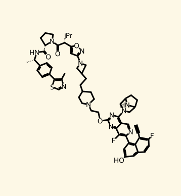 C#Cc1c(F)ccc2cc(O)cc(-c3ncc4c(N5CC6CCC(C5)N6)nc(OCCN5CCC(CCC6CN(c7cc([C@H](C(=O)N8CCC[C@H]8C(=O)N[C@@H](C)c8ccc(-c9scnc9C)cc8)C(C)C)on7)C6)CC5)nc4c3F)c12